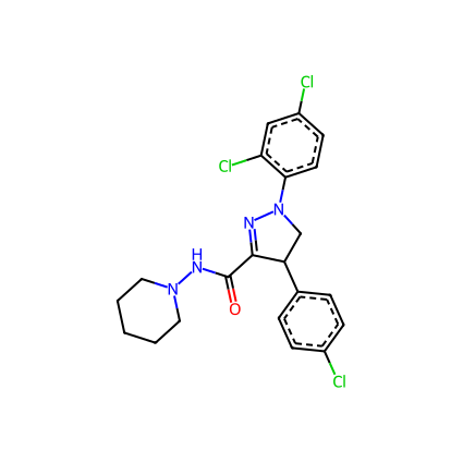 O=C(NN1CCCCC1)C1=NN(c2ccc(Cl)cc2Cl)CC1c1ccc(Cl)cc1